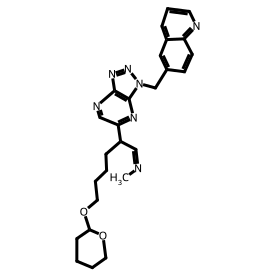 C/N=C\C(CCCCOC1CCCCO1)c1cnc2nnn(Cc3ccc4ncccc4c3)c2n1